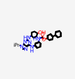 CC(C)n1cnc2c(Nc3cccc(NC(=O)Oc4ccc(-c5ccccc5)cc4)c3)nc(NC3CCC(O)CC3)nc21